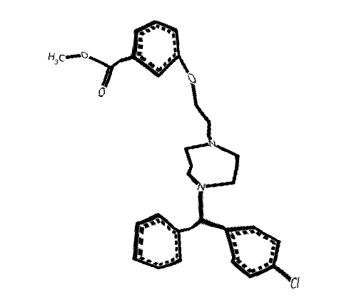 COC(=O)c1cccc(OCCN2CCN(C(c3ccccc3)c3ccc(Cl)cc3)CC2)c1